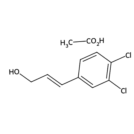 CC(=O)O.OCC=Cc1ccc(Cl)c(Cl)c1